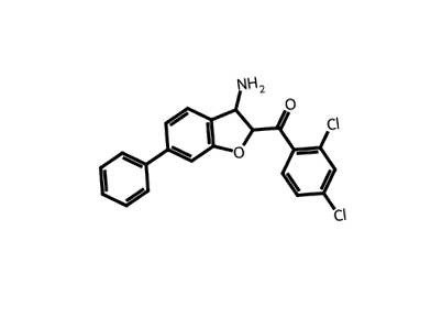 NC1c2ccc(-c3ccccc3)cc2OC1C(=O)c1ccc(Cl)cc1Cl